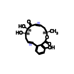 C[C@H]1C/C=C\C(=O)[C@@H](O)[C@@H](O)C/C=C/c2cccc(O)c2C(=O)O1